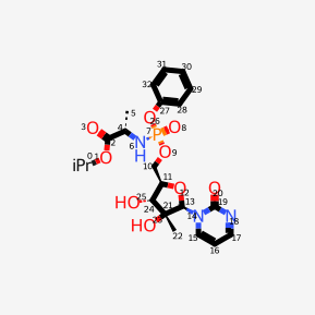 CC(C)OC(=O)[C@H](C)N[P@](=O)(OC[C@H]1O[C@@H](n2cccnc2=O)[C@](C)(O)[C@@H]1O)Oc1ccccc1